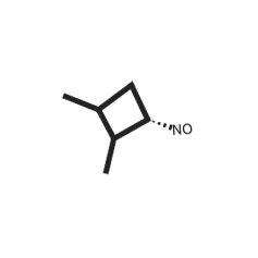 CC1C[C@H](N=O)C1C